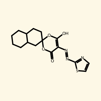 O=C1OC2(CCC3CCCCC3C2)OC(O)=C1N=Nc1nccs1